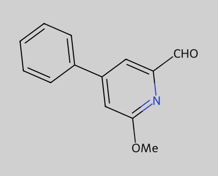 COc1cc(-c2ccccc2)cc(C=O)n1